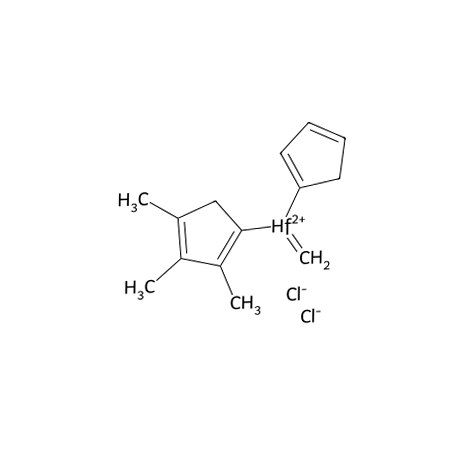 [CH2]=[Hf+2]([C]1=CC=CC1)[C]1=C(C)C(C)=C(C)C1.[Cl-].[Cl-]